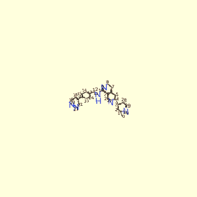 Cc1cc(-c2cc3ccnc(NCc4ccc(-c5ccnnc5)cc4)c3cn2)ccn1